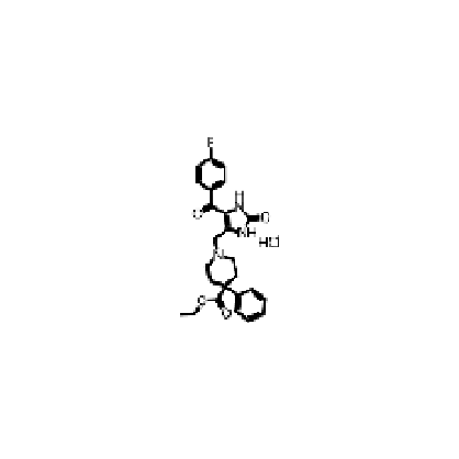 CCOC(=O)C1(c2ccccc2)CCN(Cc2[nH]c(=O)[nH]c2C(=O)c2ccc(F)cc2)CC1.Cl